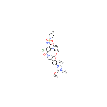 COC[C@H]1CN(c2ccc3c4c(c(=O)oc3c2C)CN(C(=O)c2cc(N(C)C)c(C(=O)NS(=O)(=O)N3CCC5(CC3)CC5)cc2Cl)CC4)CCN1C